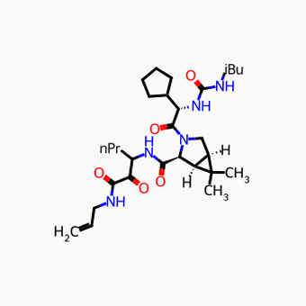 C=CCNC(=O)C(=O)C(CCC)NC(=O)[C@@H]1[C@H]2[C@@H](CN1C(=O)[C@@H](NC(=O)NC(C)CC)C1CCCC1)C2(C)C